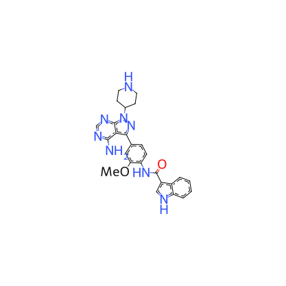 COc1cc(-c2nn(C3CCNCC3)c3ncnc(N)c23)ccc1NC(=O)c1c[nH]c2ccccc12